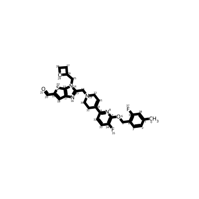 Cc1ccc(COc2nc(C3=CCN(Cc4nc5cc(C=O)sc5n4CC4CCO4)CC3)ccc2F)c(F)c1